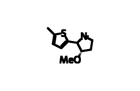 CO[C@H]1CC[N]C1c1ccc(C)s1